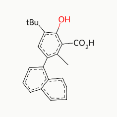 Cc1c(-c2cccc3ccccc23)cc(C(C)(C)C)c(O)c1C(=O)O